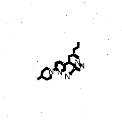 CCCC1=Cn2ncc(C#N)c2C(c2ccc(N3CCC(C)CC3)nc2)C1